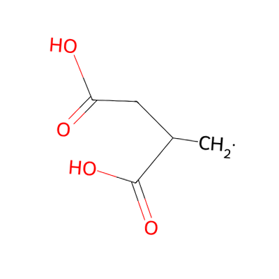 [CH2]C(CC(=O)O)C(=O)O